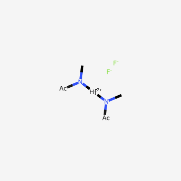 CC(=O)[N](C)[Hf+2][N](C)C(C)=O.[F-].[F-]